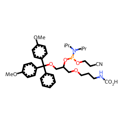 COc1ccc(C(OCC(COCCCNC(=O)O)OP(OCCC#N)N(C(C)C)C(C)C)(c2ccccc2)c2ccc(OC)cc2)cc1